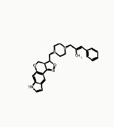 C/C(=C\c1ccccc1)CN1CCN(CC2ON=C3c4cc5cc[nH]c5cc4OCC32)CC1